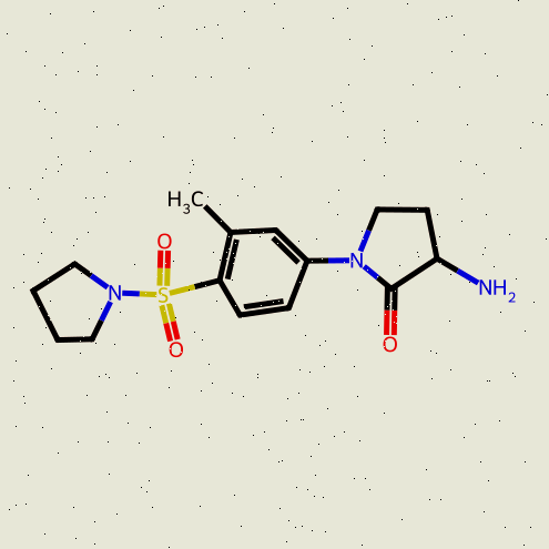 Cc1cc(N2CCC(N)C2=O)ccc1S(=O)(=O)N1CCCC1